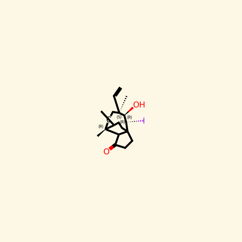 C=C[C@]1(C)CC[C@]2(C)C(C)CCC3(CCC(=O)C32)[C@@H](I)[C@@H]1O